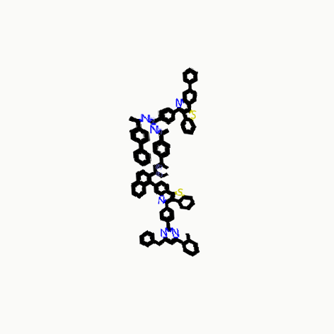 C=C(/N=C(\N=C(/C)c1ccc(/C(C)=C/C(=C\C)c2ccc3ccccc3c2-c2ccc3c4c(c(-c5ccc(-c6nc(Cc7ccccc7)cc(C7C=CC=CC7C)n6)cc5)nc3c2)C2CC=CC=C2S4)cc1)c1ccc(-c2nc3cc(-c4ccccc4)ccc3c3sc4ccccc4c23)cc1)c1ccc(-c2ccccc2)cc1